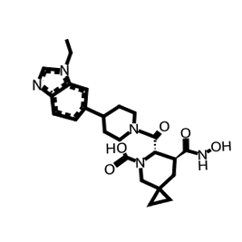 CCn1cnc2ccc(C3CCN(C(=O)[C@@H]4[C@@H](C(=O)NO)CC5(CC5)CN4C(=O)O)CC3)cc21